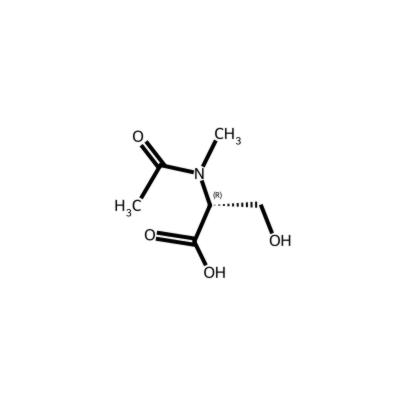 CC(=O)N(C)[C@H](CO)C(=O)O